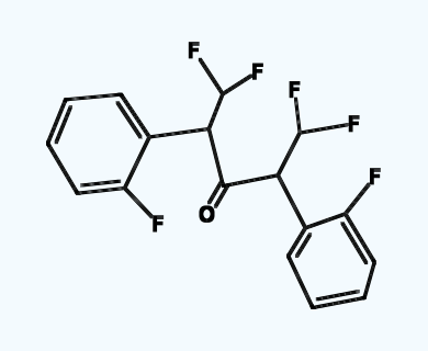 O=C(C(c1ccccc1F)C(F)F)C(c1ccccc1F)C(F)F